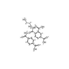 O=C(O)c1ccc(C(=O)O)c(C(=O)O)c1.O=C(O)c1ccc(C(=O)O)cc1.OCCO